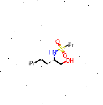 CC(C)CC[C@@H](CO)NS(=O)(=O)C(C)C